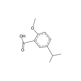 COc1ccc(C(C)C)cc1C(=O)O